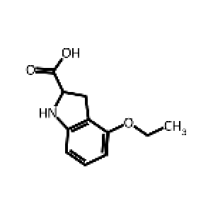 CCOc1cccc2c1CC(C(=O)O)N2